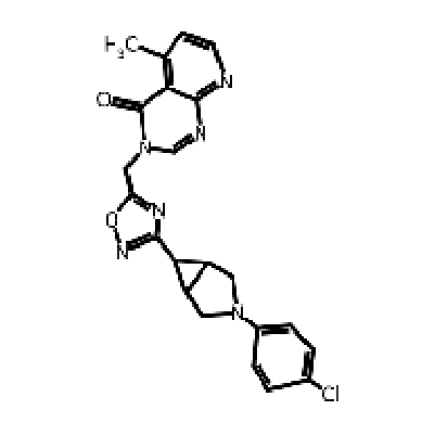 Cc1ccnc2ncn(Cc3nc(C4C5CN(c6ccc(Cl)cc6)CC54)no3)c(=O)c12